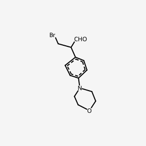 O=CC(CBr)c1ccc(N2CCOCC2)cc1